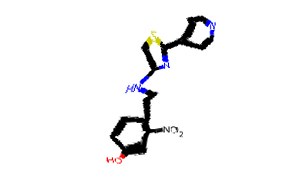 O=[N+]([O-])c1cc(O)ccc1CNc1csc(-c2ccncc2)n1